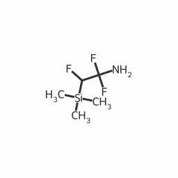 C[Si](C)(C)C(F)C(N)(F)F